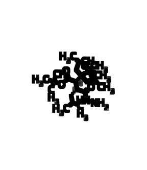 CC(C)=CC(CC(C)C)([C@H](C(=O)OC(C)(C)C)[C@@H](CC(C)C)C(=O)NN)S(C)(=O)=O